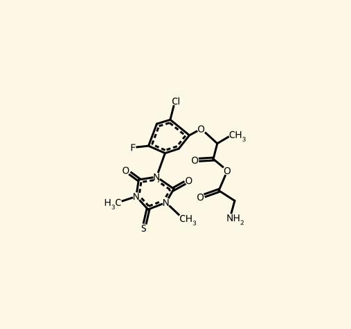 CC(Oc1cc(-n2c(=O)n(C)c(=S)n(C)c2=O)c(F)cc1Cl)C(=O)OC(=O)CN